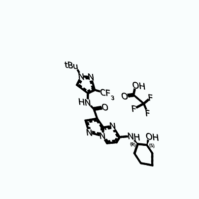 CC(C)(C)n1cc(NC(=O)c2cnn3ccc(N[C@@H]4CCCC[C@@H]4O)nc23)c(C(F)(F)F)n1.O=C(O)C(F)(F)F